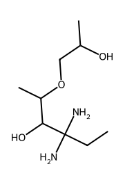 CCC(N)(N)C(O)C(C)OCC(C)O